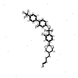 C/C=C/CCC1COC(c2ccc(C(F)(F)Oc3ccc(-c4ccc(C(F)(F)F)cc4)c(F)c3)c(F)c2)OC1